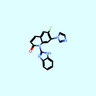 O=c1ccc2cc(F)c(-n3ccnc3)cc2n1-c1nc2ccccc2[nH]1